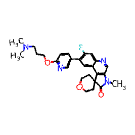 CN(C)CCCOc1ccc(-c2cc3c4c(cnc3cc2F)N(C)C(=O)C42CCOCC2)cn1